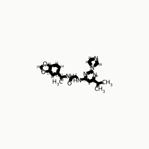 CC(C)c1cc(NCC(=O)NC(C)c2ccc3c(c2)OCO3)nc(-n2ccnc2)n1